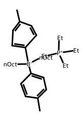 CCCCCCCC[B-](CCCCCCCC)(c1ccc(C)cc1)c1ccc(C)cc1.CC[P+](CC)(CC)CC